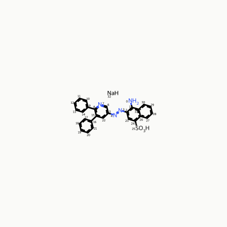 Nc1c(N=Nc2cnc(-c3ccccc3)c(-c3ccccc3)c2)cc(S(=O)(=O)O)c2ccccc12.[NaH]